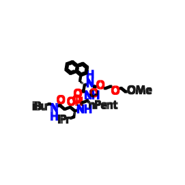 CCCCC[C@H](NC(=O)[C@H](Cc1cccc2ccccc12)NC(=O)OCCOCCOC)C(=O)N[C@@H](CC(C)C)[C@@H](O)CC(=O)NCC(C)CC